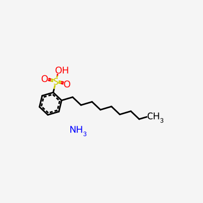 CCCCCCCCCc1ccccc1S(=O)(=O)O.N